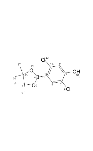 CC1(C)OB(c2cc(Cl)c(O)cc2Cl)OC1(C)C